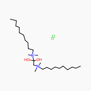 CCCCCCCCCC[N+](C)(C)CC(O)(O)[N+](C)(C)CCCCCCCCCC.[Cl-].[Cl-]